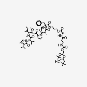 CC[C@H](C)[C@@H]([C@@H](CC(=O)N1CCC[C@H]1[C@H](OC)[C@@H](C)C(=O)N[C@@H](Cc1ccccc1)C(=O)NCCCOC(=O)[C@H](C)NC(=O)CCNC(=O)OCC(OC(CO)CC(C)(C)C)OC(C)(C)C)OC)N(C)C(=O)[C@@H](NC(=O)[C@H](C(C)C)N(C)C)C(C)C